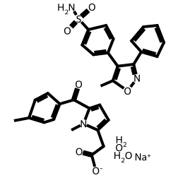 Cc1ccc(C(=O)c2ccc(CC(=O)[O-])n2C)cc1.Cc1onc(-c2ccccc2)c1-c1ccc(S(N)(=O)=O)cc1.O.O.[Na+]